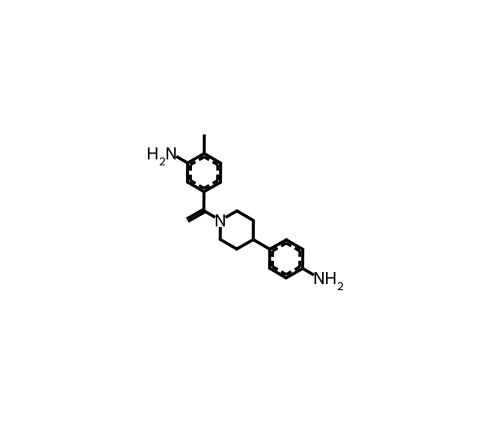 C=C(c1ccc(C)c(N)c1)N1CCC(c2ccc(N)cc2)CC1